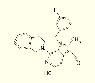 Cc1c(C=O)c2ccnc(N3CCc4ccccc4C3)c2n1Cc1cccc(F)c1.Cl